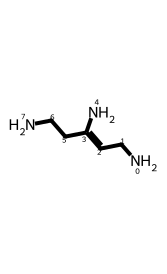 NCC=C(N)CCN